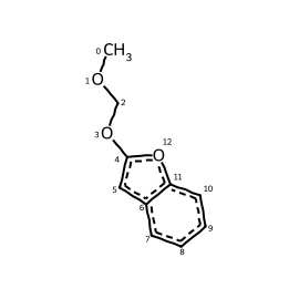 COCOc1cc2ccccc2o1